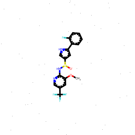 COc1cc(C(F)(F)F)cnc1N[S+]([O-])c1c[nH]c(-c2ccccc2F)c1